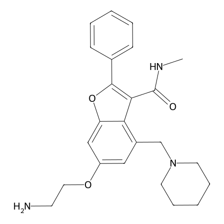 CNC(=O)c1c(-c2ccccc2)oc2cc(OCCN)cc(CN3CCCCC3)c12